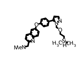 CNCc1ccc2cc(Oc3ccc(-c4ccnn4COCC[SiH](C)C)cc3)ccc2n1